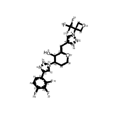 OC1C(Cc2cn(C3(C(F)(F)F)COC3)nn2)OCCC1n1cc(-c2ccc(F)c(F)c2F)nn1